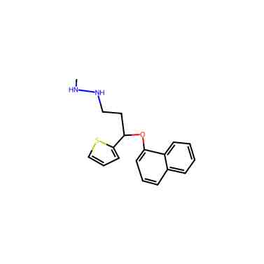 CNNCCC(Oc1cccc2ccccc12)c1cccs1